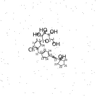 OC[C@H]1O[C@@H](c2ccc(Cl)c(Cc3ccc(C#CC4(O)CCCC4)cc3)c2)[C@H](O)[C@@H](O)[C@@H]1O